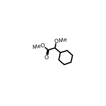 COC(=O)C(OC)C1CCCCC1